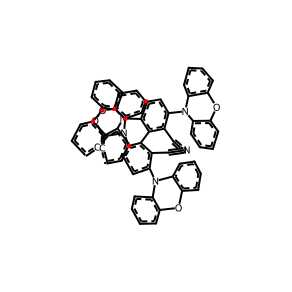 N#Cc1c(N2c3ccccc3Oc3ccccc32)ccc(N2c3ccccc3Oc3ccccc32)c1-c1c(N2c3ccccc3Oc3ccccc32)ccc(N2c3ccccc3Oc3ccccc32)c1C#N